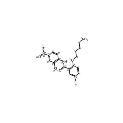 NCCCCOc1ccc(Cl)cc1C(=O)Nc1ccc([N+](=O)[O-])cc1Cl